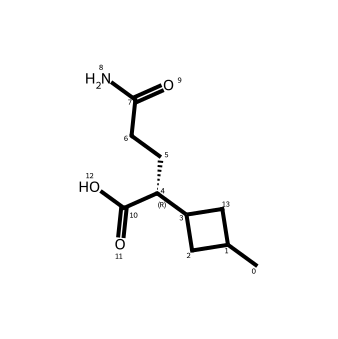 CC1CC([C@@H](CCC(N)=O)C(=O)O)C1